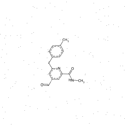 CNC(=O)c1cc(C=O)cc(Cc2ccc(C)cc2)n1